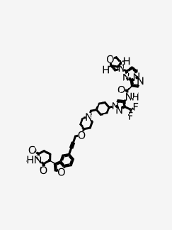 O=C1CC[C@@H](c2coc3ccc(C#CCOC4CCN(CC5CCC(n6cc(NC(=O)c7cnn8ccc(N9C[C@H]%10C[C@@H]9CO%10)nc78)c(C(F)F)n6)CC5)CC4)cc23)C(=O)N1